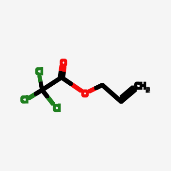 C=CCOC(=O)C(Cl)(Cl)Cl